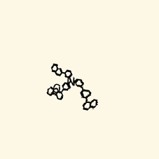 c1cc(-c2ccc(-c3cccc4ccccc34)cc2)cc(N(c2ccc(-c3cccc4c3oc3ccccc34)cc2)c2cccc(-c3ccc4ccccc4c3)c2)c1